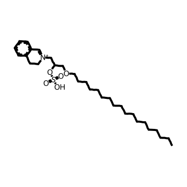 CCCCCCCCCCCCCCCCCCOCC(C[N+]1=Cc2ccccc2CC1)OS(=O)(=O)O